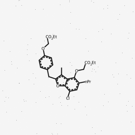 CCCc1cc(Cl)c2oc(Cc3ccc(OCC(=O)OCC)cc3)c(C)c2c1OCC(=O)OCC